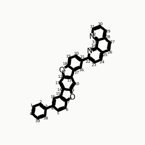 c1ccc(-c2ccc3oc4cc5c(cc4c3c2)oc2ccc(-c3ccc4ccc6cccnc6c4n3)cc25)cc1